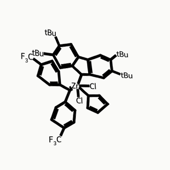 CC(C)(C)c1cc2c(cc1C(C)(C)C)[CH]([Zr]([Cl])([Cl])(=[C](c1ccc(C(F)(F)F)cc1)c1ccc(C(F)(F)F)cc1)[CH]1C=CC=C1)c1cc(C(C)(C)C)c(C(C)(C)C)cc1-2